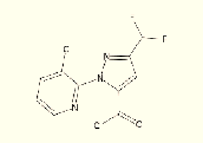 O=C(Cl)c1cc(C(F)F)nn1-c1ncccc1Cl